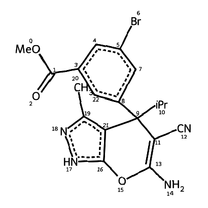 COC(=O)c1cc(Br)cc(C2(C(C)C)C(C#N)=C(N)Oc3[nH]nc(C)c32)c1